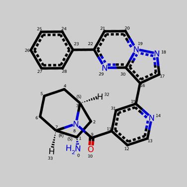 N[C@H]1C[C@@H]2CCC[C@H]1N2C(=O)c1ccnc(-c2cnn3ccc(-c4ccccc4)nc23)c1